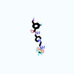 O=C(NCC1CCN(CCNS(=O)(=O)C(F)(F)F)CC1)c1cc(F)cc(CI)c1